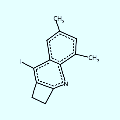 Cc1cc(C)c2nc3c(c(I)c2c1)CC3